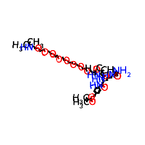 CC(C)NCCOCCOCCOCCOCCOCCOCCOCCOCCC(=O)N[C@H](C(=O)N[C@@H](CCCNC(N)=O)C(=O)Nc1ccc(COC(=O)C(C)C)cc1)C(C)C